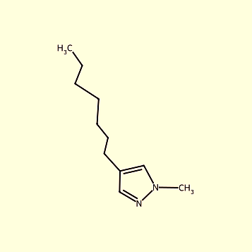 CCCCCCCc1cnn(C)c1